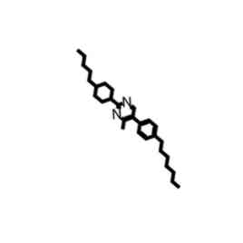 CCCCCCCc1ccc(-c2cnc(C3CCC(CCCCC)CC3)nc2C)cc1